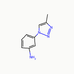 Cc1cn(-c2cccc(N)c2)nn1